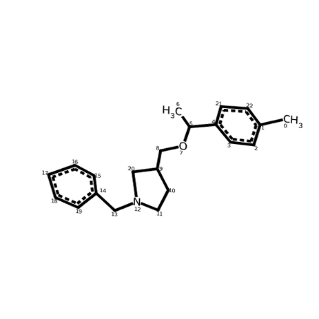 Cc1ccc(C(C)OCC2CCN(Cc3ccccc3)C2)cc1